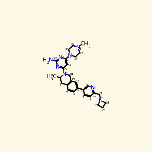 CC1Cc2ccc(-c3ccc(CN4CCC4)nc3)cc2CN1c1cc(N2CCN(C)CC2)nc(N)n1